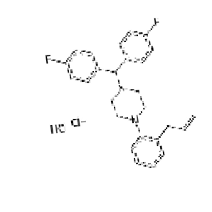 C=CCc1ccccc1N1CCN(C(c2ccc(F)cc2)c2ccc(F)cc2)CC1.Cl.Cl